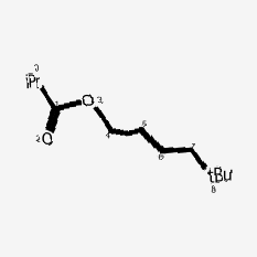 CC(C)C(=O)OCCCCC(C)(C)C